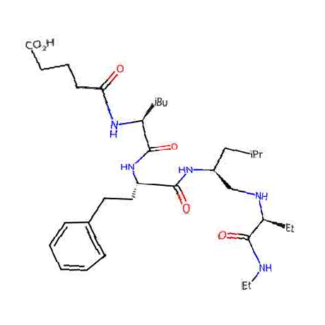 CCNC(=O)[C@H](CC)NC[C@H](CC(C)C)NC(=O)[C@H](CCc1ccccc1)NC(=O)[C@@H](NC(=O)CCCC(=O)O)C(C)CC